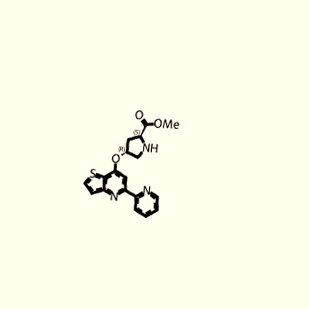 COC(=O)[C@@H]1C[C@@H](Oc2cc(-c3ccccn3)nc3ccsc23)CN1